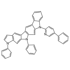 c1ccc(-c2ccc(-n3c4ccccc4c4cc5c6cc7ccn(-c8ccccc8)c7cc6n(-c6ccccc6)c5cc43)nc2)cc1